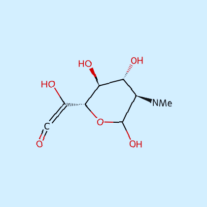 CN[C@H]1C(O)O[C@H](C(O)=C=O)[C@@H](O)[C@@H]1O